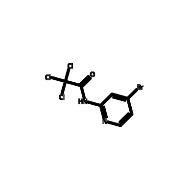 O=C(Nc1cc(Br)ccn1)C(Cl)(Cl)Cl